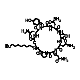 CCC(C)CCCCCCCC[C@@H]1CC(=O)N[C@H](CC(N)=O)C(=O)N[C@H](Cc2ccc(O)cc2)C(=O)N[C@H](CC(N)=O)C(=O)N[C@@H](CO)C(=O)N[C@@H](CC(N)=O)C(=O)N[C@@H](CCC(N)=O)C(=O)N2CCC[C@@H]2C(=O)N1